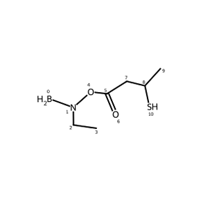 BN(CC)OC(=O)CC(C)S